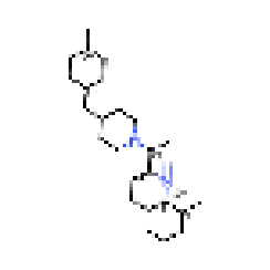 C[C@H]1C=C[C@@H](CC2CCN([C@@H](C)C3=CCC4CCC[C@H](C)[C@@H]4N3)CC2)CC1